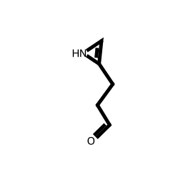 O=CCCC1=CN1